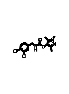 Cc1nn(C)c(C)c1OC(=O)NCc1ccc(Cl)c(Cl)c1